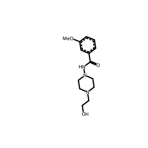 COc1cccc(C(=O)NN2CCN(CCO)CC2)c1